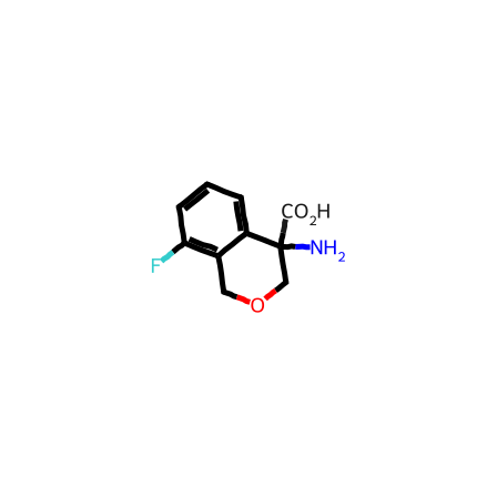 NC1(C(=O)O)COCc2c(F)cccc21